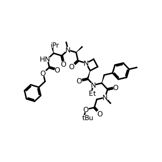 CCN(C(=O)[C@@H]1CCN1C(=O)[C@H](C)N(C)C(=O)[C@@H](NC(=O)OCc1ccccc1)C(C)C)[C@@H](Cc1ccc(C)cc1)C(=O)N(C)CC(=O)OC(C)(C)C